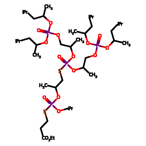 CCOC(=O)CCSP(=O)(OC(C)C)OC(C)CSP(=O)(OC(C)COP(=O)(OC(C)CC(C)C)OC(C)CC(C)C)OC(C)COP(=O)(OC(C)CC(C)C)OC(C)CC(C)C